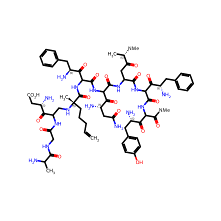 C=CCCC[C@](C)(NCC(NC(=O)CNC(=O)C(C)N)C(=O)[C@@H](N)CC(=O)O)C(=O)NC(C(=O)NC(C(=O)NC(CC(=O)[C@H](C)NC)C(=O)NC(C(=O)NC(C(=O)NC)C(=O)[C@@H](N)Cc1ccc(O)cc1)C(=O)[C@@H](N)Cc1ccccc1)C(=O)[C@@H](N)CC(N)=O)C(=O)[C@@H](N)Cc1ccccc1